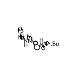 CC(C)(C)C1CCN(C(=O)NC2CCCCc3cc(-c4ccnc(Nc5cnn(C6CCOCC6)c5)n4)ccc32)C1